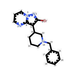 Brc1nn2cccnc2c1C1CCCN(Cc2ccccc2)C1